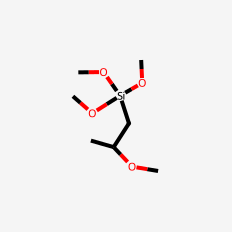 COC(C)C[Si](OC)(OC)OC